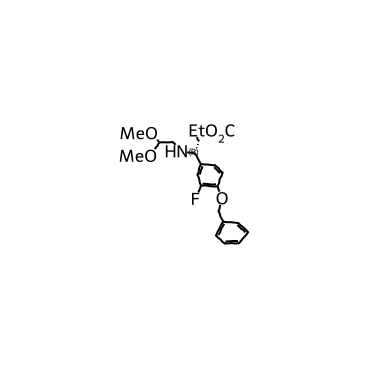 CCOC(=O)C[C@@H](NCC(OC)OC)c1ccc(OCc2ccccc2)c(F)c1